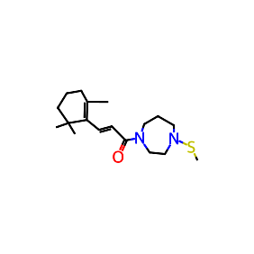 CSN1CCCN(C(=O)/C=C/C2=C(C)CCCC2(C)C)CC1